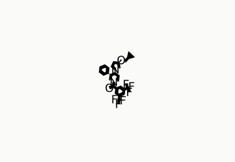 O=C(c1cc(C(F)(F)F)cc(C(F)(F)F)c1)N1CC[C@H](N2CC[C@@H](OCC3CC3)C2)[C@@H](c2ccccc2)C1